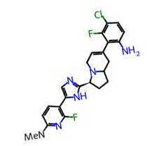 CNc1ccc(-c2cnc([C@@H]3CCC4CC(c5c(N)ccc(Cl)c5F)=CCN43)[nH]2)c(F)n1